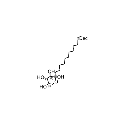 CCCCCCCCCCCCCCCCCCCC[C@@]1(O)OC[C@@H](O)[C@H](O)[C@H]1O